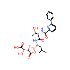 CC(C)C[C@H](NC(=O)[C@@H](NC(=O)c1cccc(-c2ccccc2)n1)[C@@H](C)O)B1OC(=O)[C@@H]([C@@H](O)C(=O)O)O1